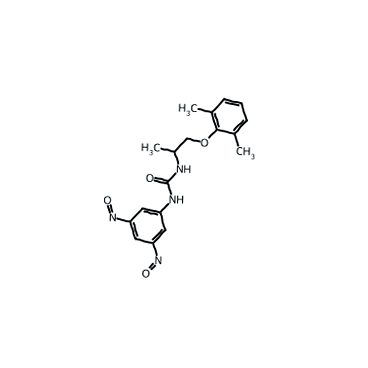 Cc1cccc(C)c1OCC(C)NC(=O)Nc1cc(N=O)cc(N=O)c1